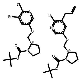 C=CCc1cc(OC[C@H]2CCCN2C(=O)OC(C)(C)C)cnc1Cl.CC(C)(C)OC(=O)N1CCC[C@@H]1COc1cnc(Cl)c(Br)c1